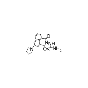 NC(=S)NN1C(=O)c2cccc3cc(N4CCCC4)cc(c23)C1=O